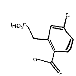 O=C(O)Cc1cc(Cl)ccc1C(=O)Cl